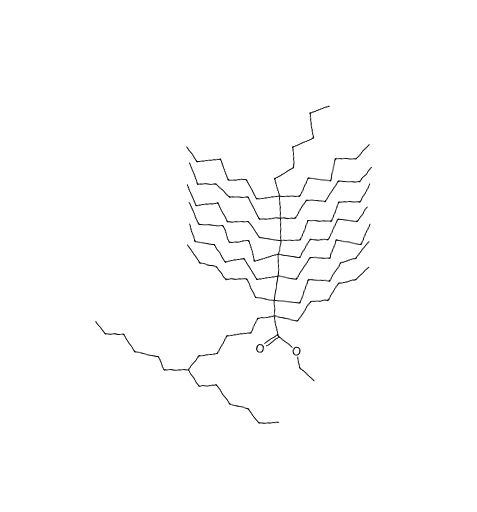 CCCCCCC(CCCCCC)CCCCCC(CCCCCC)(C(=O)OCC)C(CCCCCC)(CCCCCC)C(CCCCCC)(CCCCCC)C(CCCCCC)(CCCCCC)C(CCCCCC)(CCCCCC)C(CCCCCC)(CCCCCC)C(CCCCCC)(CCCCCC)CCCCCC